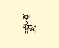 CC1=NC(CCc2cncc(C)n2)=C(C=N)C(N)N1